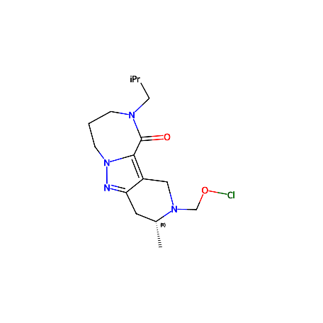 CC(C)CN1CCCn2nc3c(c2C1=O)CN(COCl)[C@H](C)C3